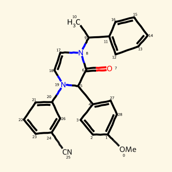 COc1ccc(C2C(=O)N(C(C)c3ccccc3)C=CN2c2cccc(C#N)c2)cc1